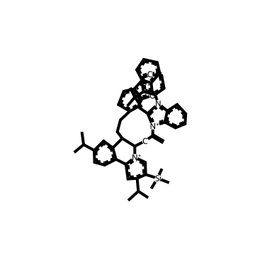 C=C1CC2C(CCc3ccc4c(oc5ccccc54)c3-c3n(-c4ccccc4C(C)(C)C)c4ccccc4[n+]31)c1cc(C(C)C)ccc1-c1cc(C(C)C)c([Si](C)(C)C)c[n+]12